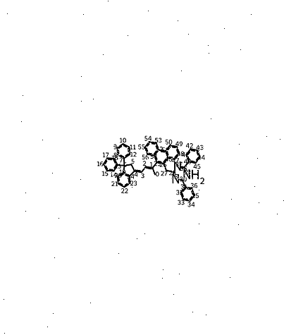 C/C(=C\C=C1/CC(c2ccccc2)(c2ccccc2)c2ccccc21)c1c(CC(=N/Cc2ccccc2)/N=C(\N)c2ccccc2)c2ccccc2c2ccccc12